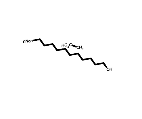 CC(=O)O.CCCCCCCCCCCCCCCCCCCCO